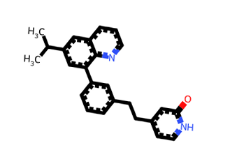 CC(C)c1cc(-c2cccc(CCc3cc[nH]c(=O)c3)c2)c2ncccc2c1